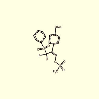 COc1ccc(C(=NOS(=O)(=O)C(F)(F)F)C(F)(F)S(=O)(=O)c2ccccc2)cc1